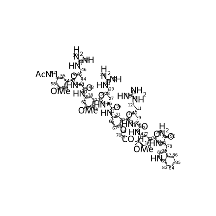 COc1ccc(NC(=O)[C@@H](CCCCNC(=N)N)NC(=O)c2cc(NC(=O)[C@@H](CCCNC(=N)N)NC(=O)c3cc(NC(=O)[C@@H](CCCNC(=N)N)NC(=O)c4cc(NC(C)=O)ccc4OC)ccc3OC)ccc2OCC(=O)O)cc1C(=O)N[C@H](Cc1c[nH]c2ccccc12)C(N)=O